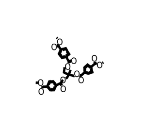 CCC(COC(=O)c1ccc(C(=O)OC)cc1)(COC(=O)c1ccc(C(=O)OC)cc1)COC(=O)c1ccc(C(=O)OC)cc1